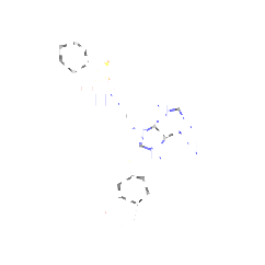 Cc1ccc(S(=O)(=O)ONCCn2c(Sc3cc4c(cc3I)CCO4)nc3c(N)ncnc32)cc1